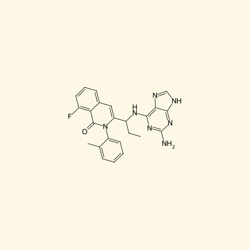 CCC(Nc1nc(N)nc2[nH]cnc12)c1cc2cccc(F)c2c(=O)n1-c1ccccc1C